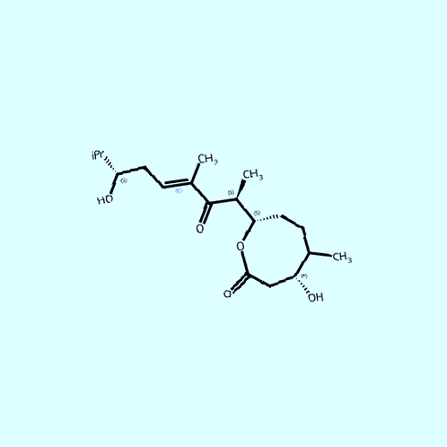 C/C(=C\C[C@H](O)C(C)C)C(=O)[C@@H](C)[C@@H]1CCC(C)[C@H](O)CC(=O)O1